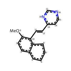 COc1ccc2ccccc2c1C=Cc1ccncn1